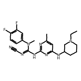 CCN1CCCC(Nc2cc(C)nc(N/C(=N/C#N)N(C)c3ccc(F)c(F)c3)n2)C1